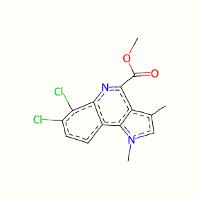 COC(=O)c1nc2c(Cl)c(Cl)ccc2c2c1c(C)cn2C